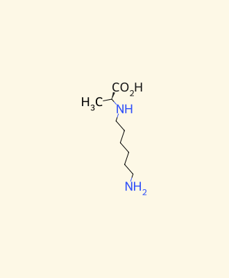 C[C@H](NCCCCCCN)C(=O)O